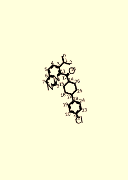 CC(C)c1ccc2cncn2c1C(=O)C1CCC(c2ccc(Cl)cc2)CC1